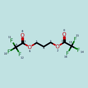 O=C(OCCCOC(=O)C(F)(F)F)C(F)(F)F